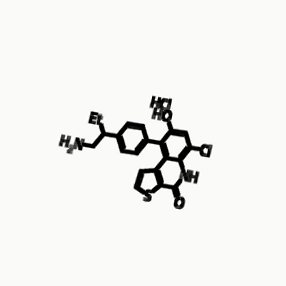 CCC(CN)c1ccc(-c2c(O)cc(Cl)c3[nH]c(=O)c4sccc4c23)cc1.Cl